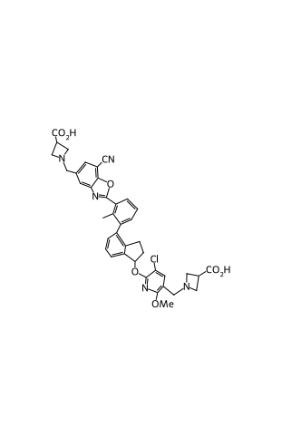 COc1nc(OC2CCc3c(-c4cccc(-c5nc6cc(CN7CC(C(=O)O)C7)cc(C#N)c6o5)c4C)cccc32)c(Cl)cc1CN1CC(C(=O)O)C1